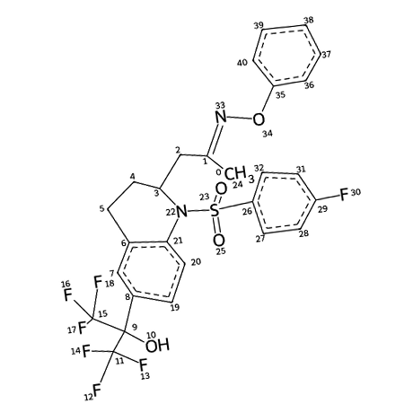 C/C(CC1CCc2cc(C(O)(C(F)(F)F)C(F)(F)F)ccc2N1S(=O)(=O)c1ccc(F)cc1)=N\Oc1ccccc1